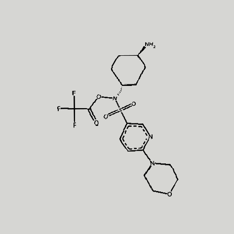 N[C@H]1CC[C@H](N(OC(=O)C(F)(F)F)S(=O)(=O)c2ccc(N3CCOCC3)nc2)CC1